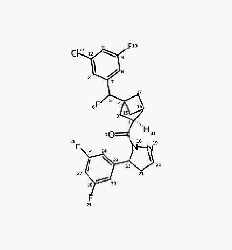 O=C([C@H]1CC2(C(F)c3cc(F)cc(Cl)c3)CC1C2)N1N=CCC1c1cc(F)cc(F)c1